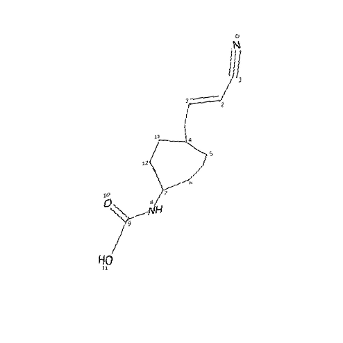 N#CC=CC1CCC(NC(=O)O)CC1